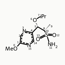 COc1cnc([C@H](OC(C)C)[C@H](C)S(N)(=O)=O)cn1